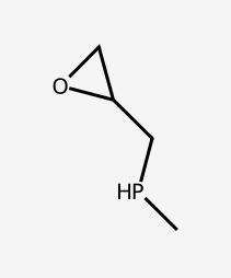 CPCC1CO1